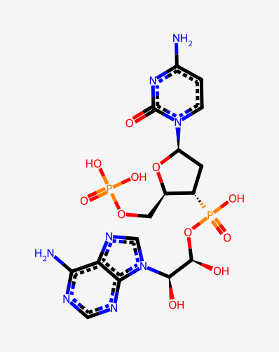 Nc1ccn([C@H]2C[C@H](P(=O)(O)O[C@@H](O)[C@@H](O)n3cnc4c(N)ncnc43)[C@@H](COP(=O)(O)O)O2)c(=O)n1